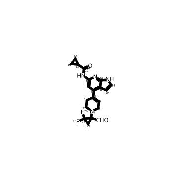 O=CC1(N2CC=C(c3cc(NC(=O)C4CC4)nc4[nH]ccc34)CC2)CC1(F)F